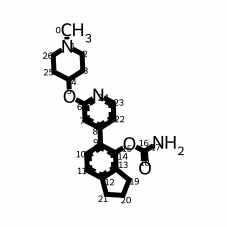 CN1CCC(Oc2cc(-c3ccc4c(c3OC(N)=O)CCC4)ccn2)CC1